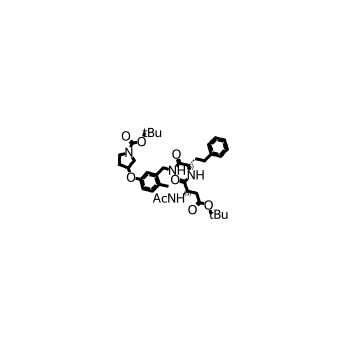 CC(=O)N[C@@H](CC(=O)OC(C)(C)C)C(=O)N[C@@H](CCc1ccccc1)C(=O)NCc1cc(OC2CCN(C(=O)OC(C)(C)C)C2)ccc1C